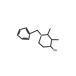 CC1C(O)CCN(Cc2ccccc2)C1C